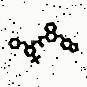 CC(C)(C)c1ccc(CN2CCOCC2)c(NC(=O)NC2CCC(Oc3ccc4nncn4c3)c3ccccc32)c1